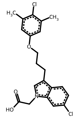 Cc1cc(OCCCc2cn(CC(=O)O)c3cc(Cl)ccc23)cc(C)c1Cl